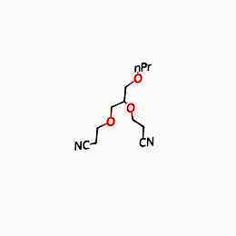 CCCOCC(COCCC#N)OCCC#N